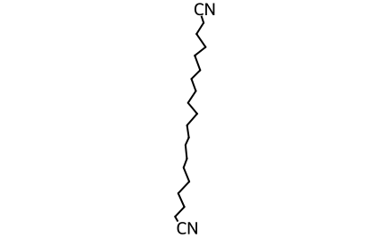 N#CCCCCCCCCCCCCCCCCCCC#N